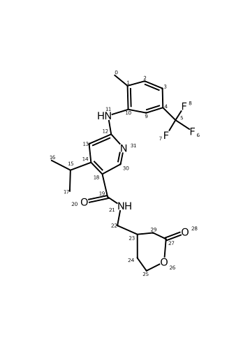 Cc1ccc(C(F)(F)F)cc1Nc1cc(C(C)C)c(C(=O)NCC2CCOC(=O)C2)cn1